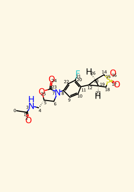 CC(=O)NC[C@H]1CN(c2ccc(C3[C@H]4CS(=O)(=O)C[C@@H]34)c(F)c2)C(=O)O1